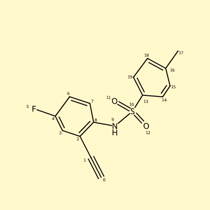 C#Cc1cc(F)ccc1NS(=O)(=O)c1ccc(C)cc1